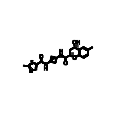 Cc1ccc2c(c1)[C@H](O)C[C@H](C(=O)NC13CC(NC(=O)c4cnc(C)s4)(C1)C3)O2